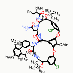 CN[C@@H](CC(C)C)C(=O)N[C@H]1C(=O)NC(CC(N)=O)C(=O)N[C@H]2C(=O)N[C@H](c3ccc(OC)c(-c4c(OC)cc(OC)cc4C(NC(C)=O)C(=O)O)c3)C(=O)NCC(O[Si](C)(C)C(C)(C)C)c3cc(Cl)cc(c3)Oc3cc2cc(c3OC)Oc2ccc(cc2Cl)C1O[Si](C)(C)C(C)(C)C